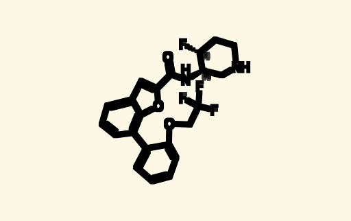 O=C(N[C@@H]1CNCC[C@H]1F)c1cc2cccc(-c3ccccc3OCC(F)(F)F)c2o1